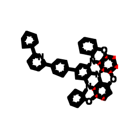 c1ccc(-c2cccc(-c3ccc(-c4cc(N5c6ccccc6Oc6ccccc65)c(N5c6ccccc6Oc6ccccc65)c(N5c6ccccc6Oc6ccccc65)c4)cc3)n2)cc1